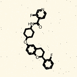 O=C(NC1CCC(Oc2ccc3c(c2)CCC(c2ccccc2F)O3)CC1)c1ccncc1F